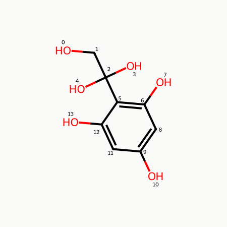 OCC(O)(O)c1c(O)cc(O)cc1O